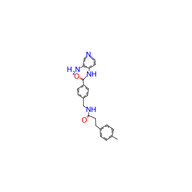 Cc1ccc(CCC(=O)NCc2ccc(C(=O)Nc3ccncc3N)cc2)cc1